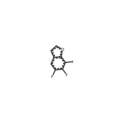 Fc1cc2ccoc2c(I)c1F